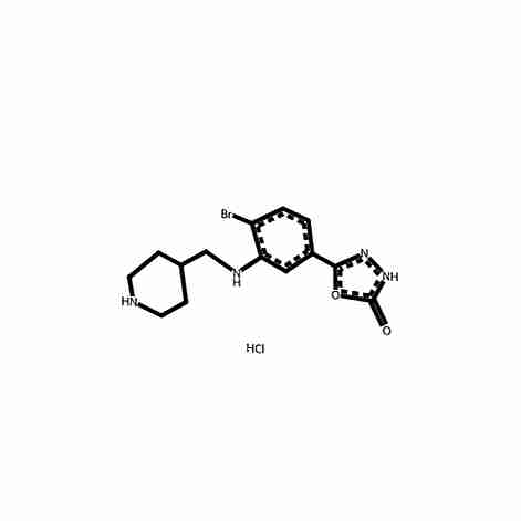 Cl.O=c1[nH]nc(-c2ccc(Br)c(NCC3CCNCC3)c2)o1